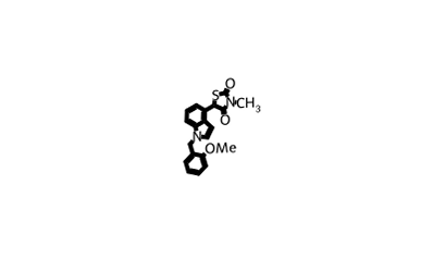 COc1ccccc1Cn1ccc2c(C3SC(=O)N(C)C3=O)cccc21